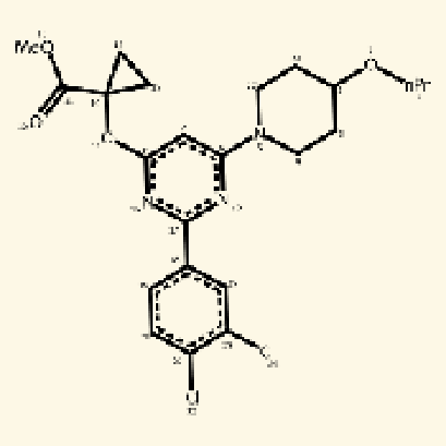 CCCOC1CCN(c2cc(OC3(C(=O)OC)CC3)nc(-c3ccc(Cl)c(Cl)c3)n2)CC1